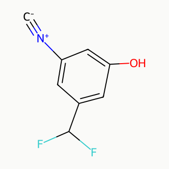 [C-]#[N+]c1cc(O)cc(C(F)F)c1